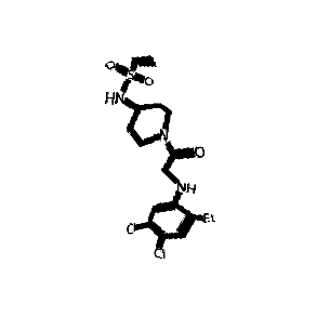 C=CS(=O)(=O)NC1CCN(C(=O)CNc2cc(Cl)c(Cl)cc2CC)CC1